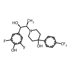 C[C@H]([C@H](O)c1cc(F)c(O)c(F)c1)N1CCC(O)(c2ccc(C(F)(F)F)cc2)CC1